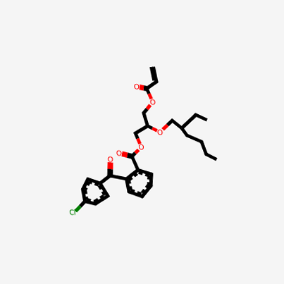 C=CC(=O)OCC(COC(=O)c1ccccc1C(=O)c1ccc(Cl)cc1)OCC(CC)CCCC